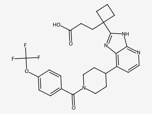 O=C(O)CCC1(c2nc3c(C4CCN(C(=O)c5ccc(OC(F)(F)F)cc5)CC4)ccnc3[nH]2)CCC1